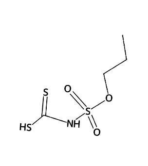 CCCOS(=O)(=O)NC(=S)S